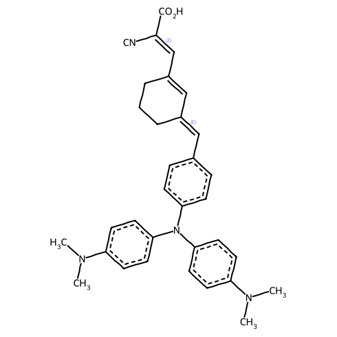 [C-]#[N+]/C(=C\C1=CC(=C/c2ccc(N(c3ccc(N(C)C)cc3)c3ccc(N(C)C)cc3)cc2)/CCC1)C(=O)O